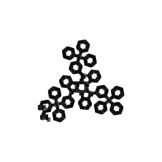 C=C/C=C(\C=C/C)[Si](c1ccccc1)(c1ccccc1)c1cccc(N2B3N(B4N(B5N3c3ccccc3N5c3cccc([Si](c5ccccc5)(c5ccccc5)c5ccccc5)c3)c3ccccc3N4c3cccc([Si](c4ccccc4)(c4ccccc4)c4ccccc4)c3)c3ccccc32)c1